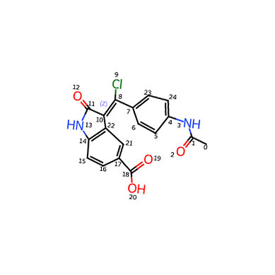 CC(=O)Nc1ccc(/C(Cl)=C2/C(=O)Nc3ccc(C(=O)O)cc32)cc1